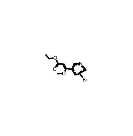 CCOC(=O)C=C(OC)c1cncc(Br)c1